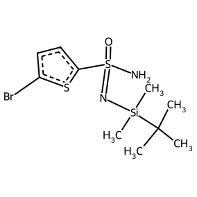 CC(C)(C)[Si](C)(C)N=S(N)(=O)c1ccc(Br)s1